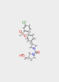 CS(=O)(=O)c1cc(Cl)ccc1-c1ccc(C2CN(C(=O)N3CC[C@@H](CO)C3)C2)cc1